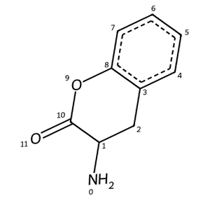 NC1Cc2ccccc2OC1=O